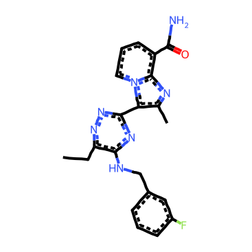 CCc1nnc(-c2c(C)nc3c(C(N)=O)cccn23)nc1NCc1cccc(F)c1